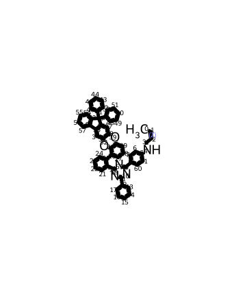 C/C=C\CNc1ccc(-c2nc(-c3ccccc3)nc(-c3ccccc3-c3cccc4c3Oc3cc5c(cc3O4)C(c3ccccc3)(c3ccccc3)c3ccccc3-5)n2)cc1